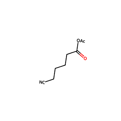 CC(=O)OC(=O)CCCCC#N